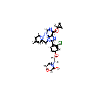 Cc1ccnc(Cn2c(-c3ccc(OCCN4CCOCC4=O)cc3Cl)nc3c(OC4(C)CC4)ncnc32)c1